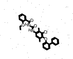 CCOc1ccccc1C(=O)NC(=O)Nc1cc(C)c(Oc2ccccc2-c2ccccc2)c(Cl)c1C